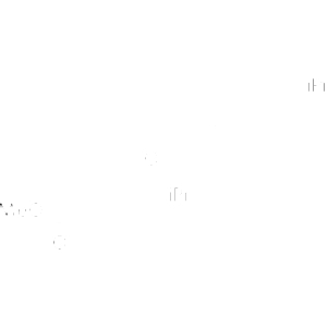 COC(=O)c1ccc(C(Oc2cc(C)c(-c3ccc(C(C)C)cc3)c(C)c2)C(C)C)cc1